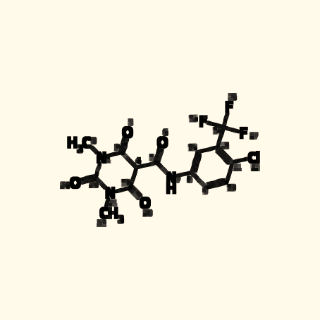 CN1C(=O)C(C(=O)Nc2ccc(Cl)c(C(F)(F)F)c2)C(=O)N(C)C1=O